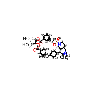 CCN(CC1CCN(S(C)(=O)=O)CC1)C(C)Cc1ccc(OC)cc1.O=C(O[C@@H](C(=O)O)[C@@H](OC(=O)c1ccccc1)C(=O)O)c1ccccc1